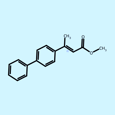 COC(=O)/C=C(\C)c1ccc(-c2ccccc2)cc1